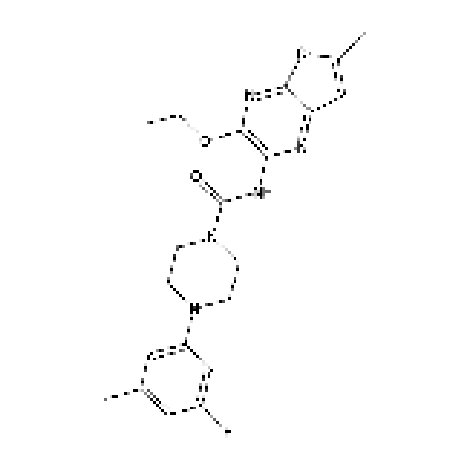 CCOc1nc2oc(C)cc2nc1NC(=O)N1CCN(c2cc(C)cc(F)c2)CC1